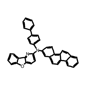 c1ccc(-c2ccc(N(c3ccc4c(ccc5c6ccccc6ccc45)c3)c3ccc4oc5ccccc5c4n3)cc2)cc1